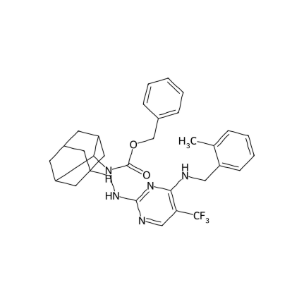 Cc1ccccc1CNc1nc(NCC23CC4CC(C2)C(NC(=O)OCc2ccccc2)C(C4)C3)ncc1C(F)(F)F